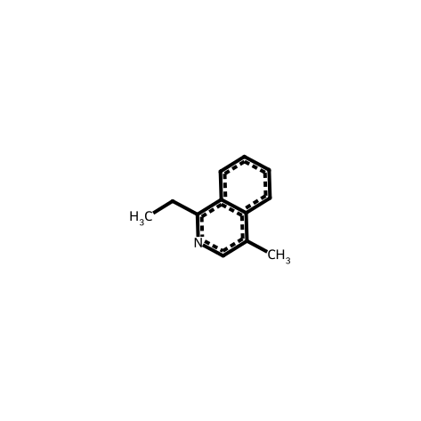 CCc1ncc(C)c2ccccc12